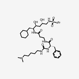 CCCS(=O)(=O)NC[C@@H](O)C[C@H](O)[C@H](CC1CCCCC1)NC(=O)CCNC(=O)[C@H](Cc1ccccc1)NC(=O)NCCCCCN(C)C